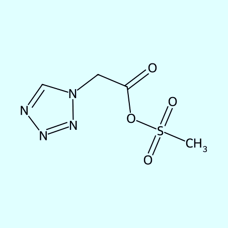 CS(=O)(=O)OC(=O)Cn1cnnn1